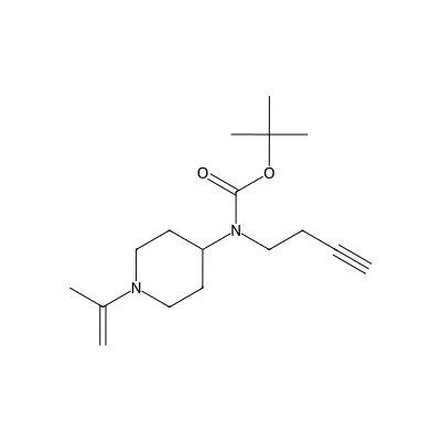 C#CCCN(C(=O)OC(C)(C)C)C1CCN(C(=C)C)CC1